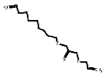 C=CCCCCCCCCOCC(=O)COCC=C